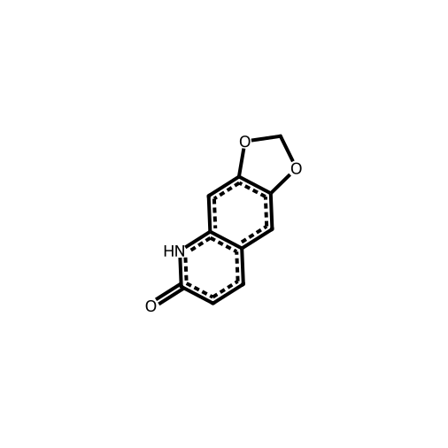 O=c1ccc2cc3c(cc2[nH]1)OCO3